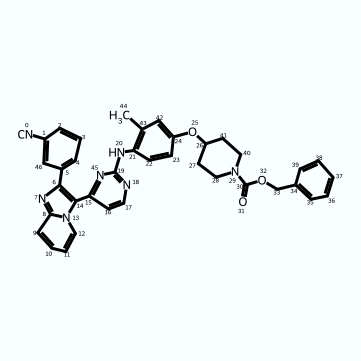 [C-]#[N+]c1cccc(-c2nc3ccccn3c2-c2ccnc(Nc3ccc(OC4CCN(C(=O)OCc5ccccc5)CC4)cc3C)n2)c1